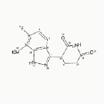 CC(C)(C)c1c(F)ccc2c(C3CCC(=O)NC3=O)n[nH]c12